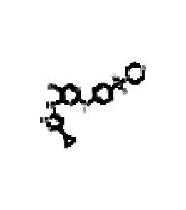 O=S(=O)(c1ccc(Nc2ncc(Br)c(Nc3cc(C4CC4)n[nH]3)n2)cc1)N1CCOCC1